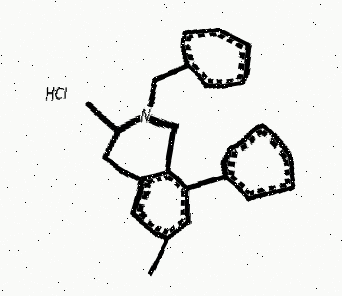 Cc1cc2c(c(-c3ccccc3)c1)CN(Cc1ccccc1)C(C)C2.Cl